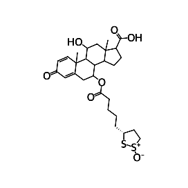 CC12C=CC(=O)C=C1CC(OC(=O)CCCC[C@@H]1CC[S+]([O-])S1)C1C2C(O)CC2(C)C(C(=O)O)CCC12